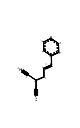 N#CC(C#N)C/C=C/c1ccccc1